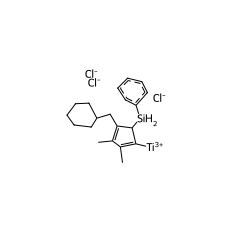 CC1=[C]([Ti+3])C([SiH2]c2ccccc2)C(CC2CCCCC2)=C1C.[Cl-].[Cl-].[Cl-]